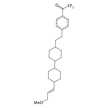 COCC=CC1CCC(C2CCC(CCc3ccc(C(=O)C(F)(F)F)cc3)CC2)CC1